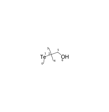 C[Te]C(C)(C)CO